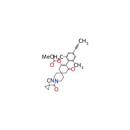 CC#Cc1cc(C)c(C2=C(OC(=O)OC)CC3(CCN(C(=O)C4(C#N)CC4)CC3)CC2=O)c(C)c1